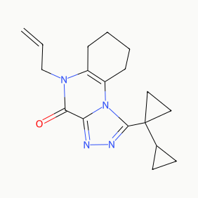 C=CCn1c2c(n3c(C4(C5CC5)CC4)nnc3c1=O)CCCC2